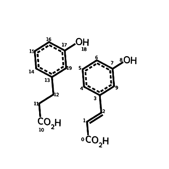 O=C(O)C=Cc1cccc(O)c1.O=C(O)CCc1cccc(O)c1